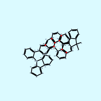 CC1(C)c2ccccc2-c2c(-c3ccccc3N(c3ccc(-c4ccccc4-n4c5ccccc5c5ccccc54)cc3)c3ccccc3-c3ccccc3-c3ccccc3)cccc21